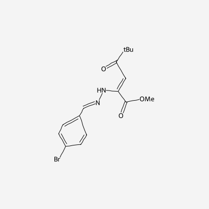 COC(=O)/C(=C/C(=O)C(C)(C)C)N/N=C/c1ccc(Br)cc1